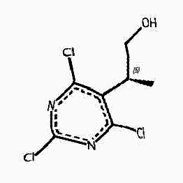 C[C@H](CO)c1c(Cl)nc(Cl)nc1Cl